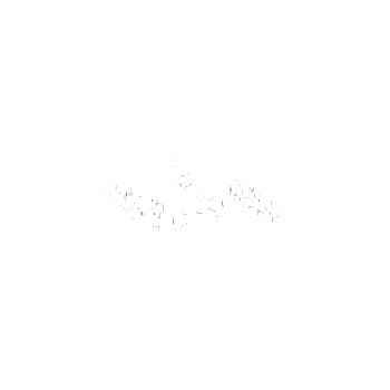 COC(=O)N[C@H](C(=O)N1CCC[C@H]1c1ncc(-c2cccc(/C=C/c3c(F)cc(-c4cnc([C@@H]5CCCN5C(=O)[C@@H](NC(=O)OC)C(C)C)[nH]4)cc3OCc3cnc(C4CCCC4)s3)c2)[nH]1)C(C)C